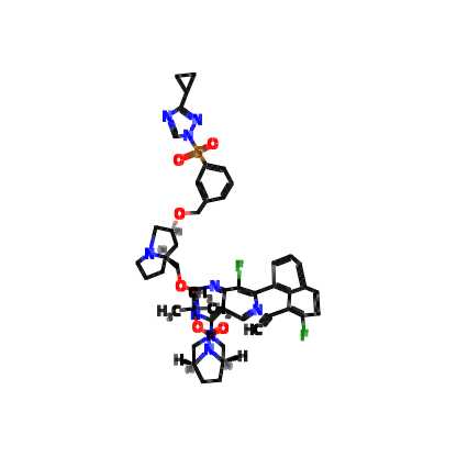 C#Cc1c(F)ccc2cccc(-c3ncc4c(N5C[C@H]6CC[C@@H](C5)N6C(=O)OC(C)(C)C)nc(OC[C@@]56CCCN5C[C@H](OCc5cccc(S(=O)(=O)n7cnc(C8CC8)n7)c5)C6)nc4c3F)c12